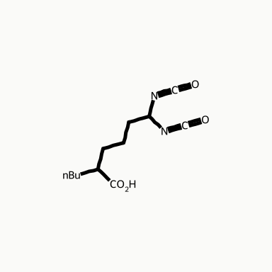 CCCCC(CCCC(N=C=O)N=C=O)C(=O)O